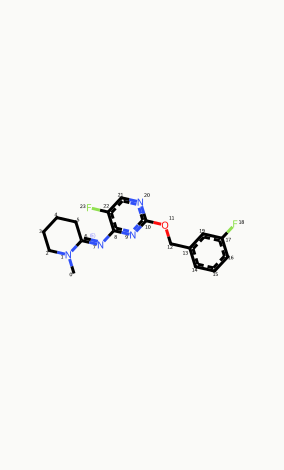 CN1CCCC/C1=N\c1nc(OCc2cccc(F)c2)ncc1F